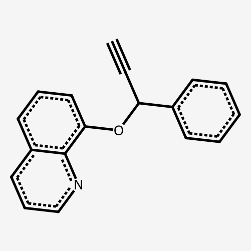 C#CC(Oc1cccc2cccnc12)c1ccccc1